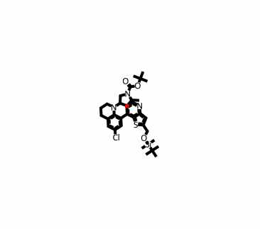 CC1CC(N2CCCc3cc(Cl)cc(-c4ccnc5cc(CO[Si](C)(C)C(C)(C)C)sc45)c32)CN1C(=O)OC(C)(C)C